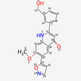 COc1cc2[nH]c(-c3cccc(CO)c3)cc(=O)c2cc1-c1ccno1